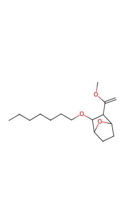 C=C(OC)C1C2CCC(O2)C1OCCCCCCC